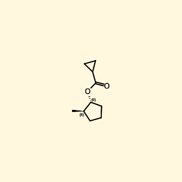 C[C@@H]1CCC[C@H]1OC(=O)C1CC1